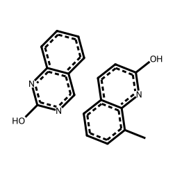 Cc1cccc2ccc(O)nc12.Oc1ncc2ccccc2n1